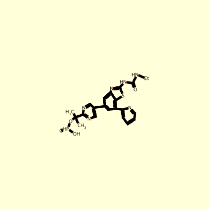 CCNC(=O)Nc1nc2cc(-c3cnc(C(C)(C)O[PH](=O)O)nc3)cc(-c3ccccn3)c2s1